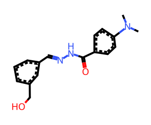 CN(C)c1ccc(C(=O)N/N=C/c2cccc(CO)c2)cc1